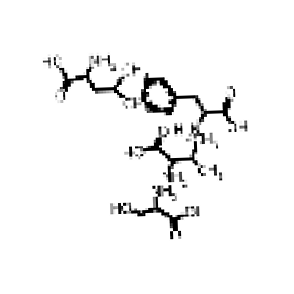 CC(C)C(N)C(=O)O.CC(C)CC(N)C(=O)O.NC(CO)C(=O)O.NC(Cc1ccccc1)C(=O)O